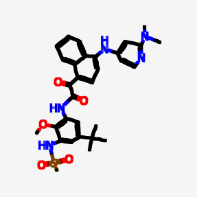 COc1c(NC(=O)C(=O)c2ccc(Nc3ccnc(N(C)C)c3)c3ccccc23)cc(C(C)(C)C)cc1NS(C)(=O)=O